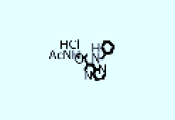 CC(=O)NOC(C)c1cnc2cccnc2c1NCc1ccccc1.Cl